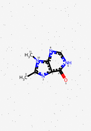 Cc1nc2c(=O)[nH]cnc2n1C